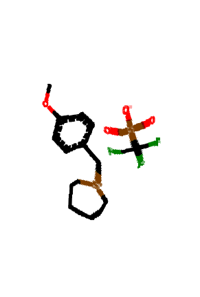 COc1ccc(C[S+]2CCCC2)cc1.O=S(=O)([O-])C(F)(F)F